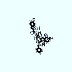 O=C(CNC(=O)c1cc2ccc(F)cc2[nH]1)NC(CC1CCCNC1=O)C(=O)C(=O)NCc1ccccc1